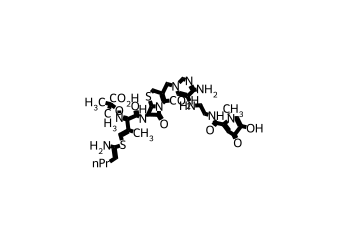 CCC/C=C(\N)S/C=C(C)/C(=N/OC(C)(C)C(=O)O)C(=O)N[C@@H]1C(=O)N2C(C(=O)O)=C(CN3C=C(NCCNC(=O)c4cc(=O)c(O)cn4C)C(N)=NC3)CSC12